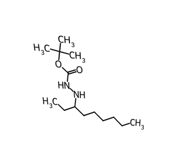 CCCCCCC(CC)NNC(=O)OC(C)(C)C